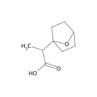 CC(C(=O)O)C12CCC(CC1)O2